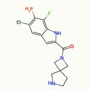 O=C(c1cc2cc(Cl)c(P)c(F)c2[nH]1)N1CC2(CCNC2)C1